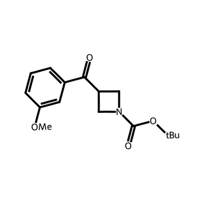 COc1cccc(C(=O)C2CN(C(=O)OC(C)(C)C)C2)c1